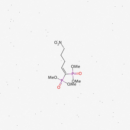 COP(=O)(OC)C(=CCCC[N+](=O)[O-])P(=O)(OC)OC